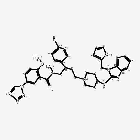 COc1ccc(-n2cnnn2)cc1C(=O)N(C)CC(CCN1CCC(Nc2nc3ccccc3n2Cc2ccco2)CC1)c1ccc(F)cc1